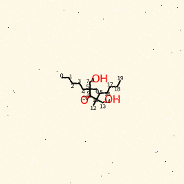 CCCCCC(C)(CO)C(=O)C(C)(CO)CCCCC